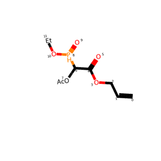 C=CCOC(=O)C(OC(C)=O)[PH](=O)OCC